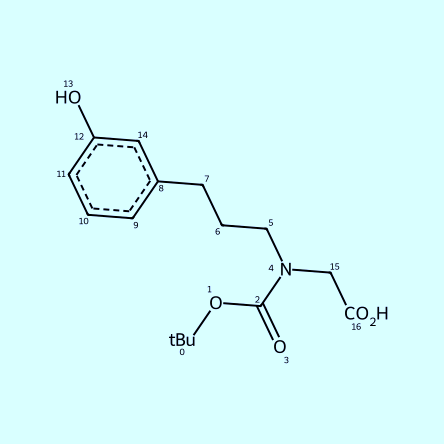 CC(C)(C)OC(=O)N(CCCc1cccc(O)c1)CC(=O)O